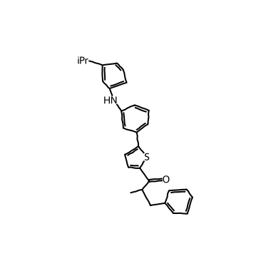 CC(Cc1ccccc1)C(=O)c1ccc(-c2cccc(Nc3cccc(C(C)C)c3)c2)s1